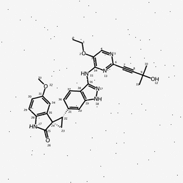 CCOc1cnc(C#CC(C)(C)O)nc1Nc1n[nH]c2cc([C@@H]3C[C@@]34C(=O)Nc3ccc(OC)cc34)ccc12